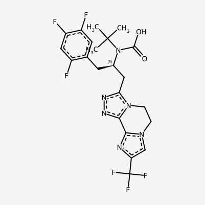 CC(C)(C)N(C(=O)O)[C@H](Cc1cc(F)c(F)cc1F)Cc1nnc2n1CCn1cc(C(F)(F)F)nc1-2